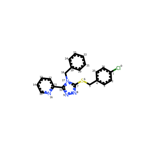 Clc1ccc(CSc2nnc(-c3ccccn3)n2Cc2ccccc2)cc1